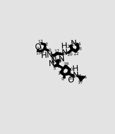 Cc1cc(-c2cnn3c(NCC4CCOCC4)cc(NCc4cccnc4)nc23)ccc1C(=O)NC1CC1